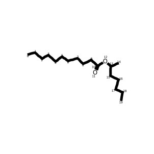 CCCCCCCCCCC(=O)OC(C)CCCCC